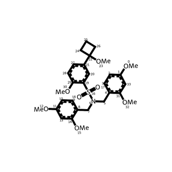 COc1ccc(CN(Cc2ccc(OC)cc2OC)S(=O)(=O)c2cc(C3(OC)CCC3)ccc2OC)c(OC)c1